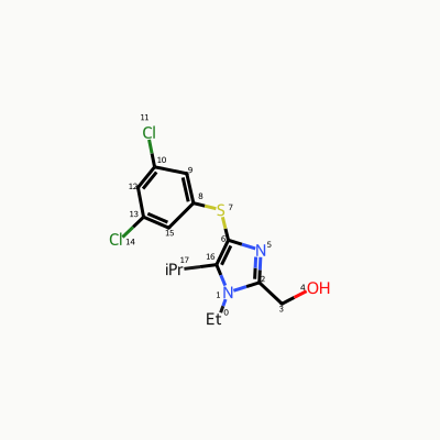 CCn1c(CO)nc(Sc2cc(Cl)cc(Cl)c2)c1C(C)C